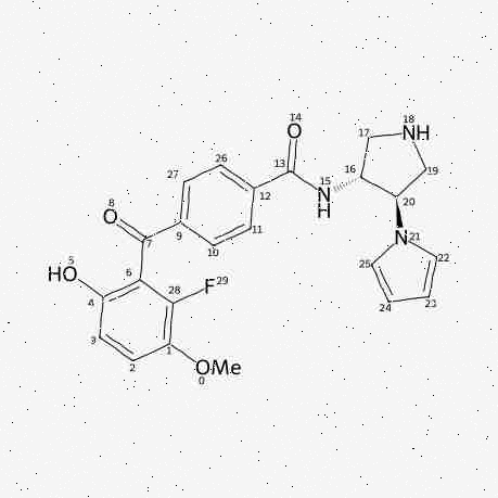 COc1ccc(O)c(C(=O)c2ccc(C(=O)N[C@@H]3CNC[C@H]3n3cccc3)cc2)c1F